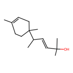 CC1=CCC(C)(C(C)/C=C/C(C)(C)O)CC1